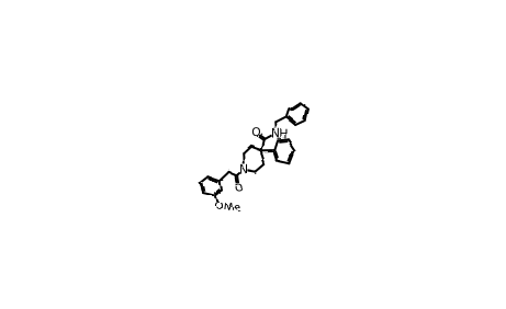 COc1cccc(CC(=O)N2CCC(C(=O)NCc3ccccc3)(c3ccccc3)CC2)c1